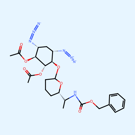 CC(=O)O[C@@H]1[C@@H](OC(C)=O)[C@H](N=[N+]=[N-])C[C@H](N=[N+]=[N-])[C@H]1OC1CCC[C@@H](C(C)NC(=O)OCc2ccccc2)O1